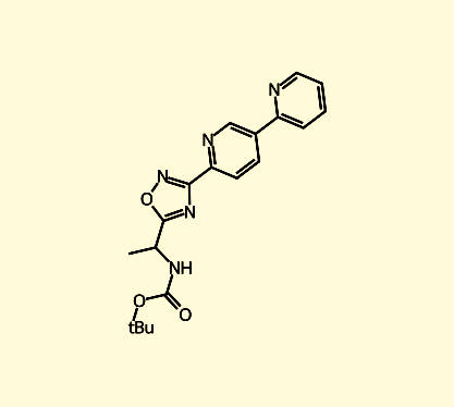 CC(NC(=O)OC(C)(C)C)c1nc(-c2ccc(-c3ccccn3)cn2)no1